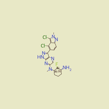 CN(c1cnc2c(-c3ccc4nn(C)c(Cl)c4c3Cl)n[nH]c2n1)[C@@H]1CCC[C@H](N)[C@@H]1F